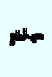 Cc1ncoc1-c1ccc(CNC(=O)[C@@H]2CCCN2C(=O)C(NC(=O)COCCCC(=O)Nc2ccc(-c3ccc(N4C(=S)N(c5ccc(C#N)c(C(F)(F)F)c5)C(=O)C4(C)C)cc3)cc2)C(C)(C)C)cc1